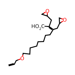 C=CCOCCCCCCCCC(CC1CO1)=C(CC1CO1)C(=O)O